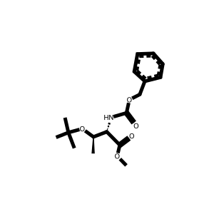 COC(=O)[C@@H](NC(=O)OCc1ccccc1)[C@@H](C)OC(C)(C)C